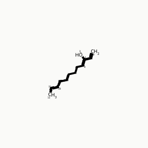 C=CC(O)=CCCCCCCCC